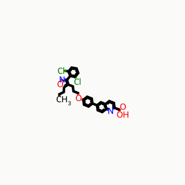 CCCc1onc(-c2c(Cl)cccc2Cl)c1CCCOc1ccc(-c2ccc3nc(C(=O)O)ccc3c2)cc1